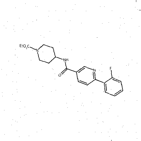 CCOC(=O)N1CCC(NC(=O)c2ccc(-c3ccccc3F)nc2)CC1